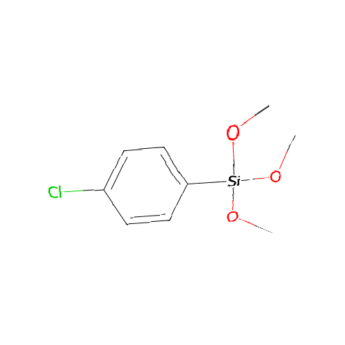 CO[Si](OC)(OC)c1ccc(Cl)cc1